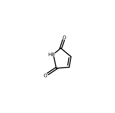 O=C1BC(=O)C=C1